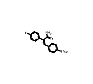 CSc1ccc(/C=C(\C(N)=O)c2ccc(F)cc2)cc1